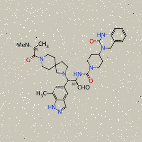 CN[C@H](C)C(=O)N1CCC2(CC1)CCN(C(c1cc(C)c3[nH]ncc3c1)[C@H](C=O)NC(=O)N1CCC(N3Cc4ccccc4NC3=O)CC1)C2